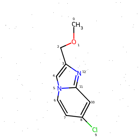 COCc1cn2ccc(Cl)cc2n1